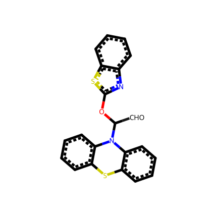 O=CC(Oc1nc2ccccc2s1)N1c2ccccc2Sc2ccccc21